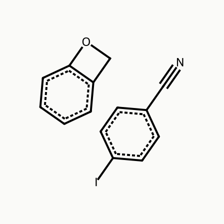 N#Cc1ccc(I)cc1.c1ccc2c(c1)CO2